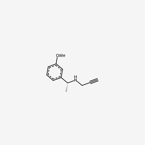 C#CCN[C@H](C)c1cccc(OC)c1